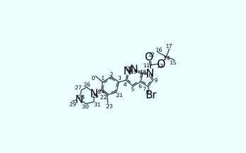 Cc1cc(-c2cc3c(Br)cn(C(=O)OC(C)(C)C)c3nn2)cc(C)c1N1CCN(C)CC1